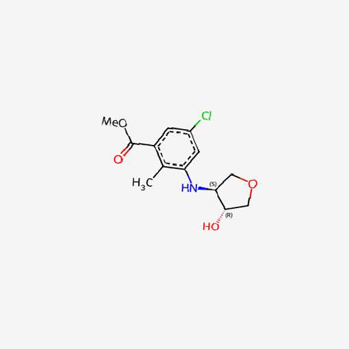 COC(=O)c1cc(Cl)cc(N[C@H]2COC[C@@H]2O)c1C